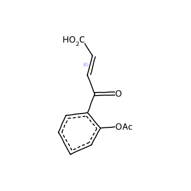 CC(=O)Oc1ccccc1C(=O)/C=C/C(=O)O